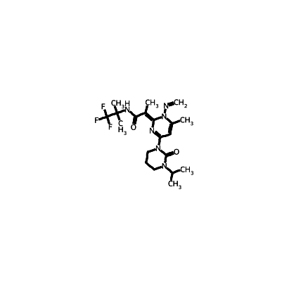 C=NN1C(C)=CC(N2CCCN(C(C)C)C2=O)=N/C1=C(/C)C(=O)NC(C)(C)C(F)(F)F